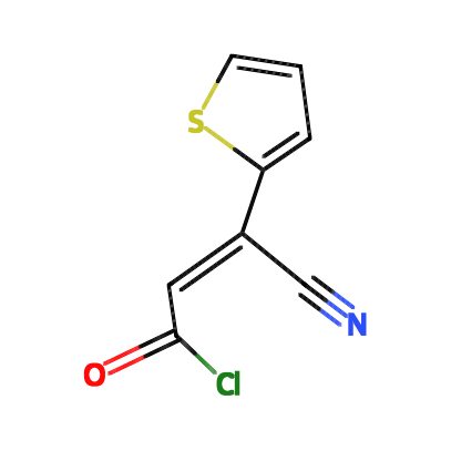 N#CC(=CC(=O)Cl)c1cccs1